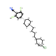 N#Cc1c(F)cc([C@H]2CC[C@H](CCCCC3CC[SiH](Cl)CC3)CC2)cc1F